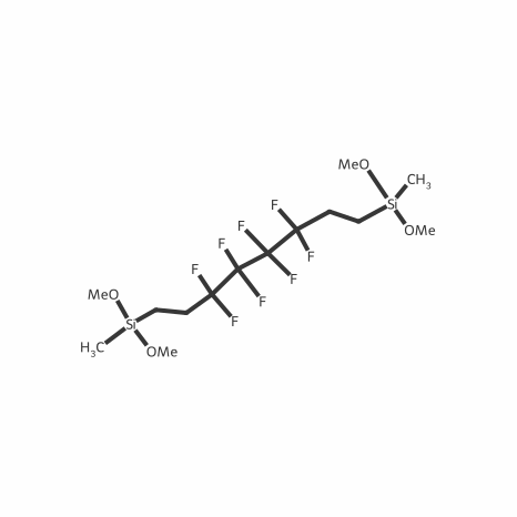 CO[Si](C)(CCC(F)(F)C(F)(F)C(F)(F)C(F)(F)CC[Si](C)(OC)OC)OC